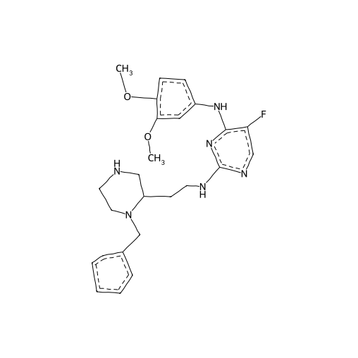 COc1ccc(Nc2nc(NCCC3CNCCN3Cc3ccccc3)ncc2F)cc1OC